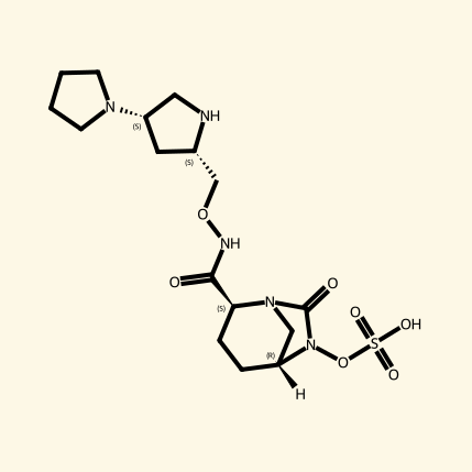 O=C(NOC[C@@H]1C[C@H](N2CCCC2)CN1)[C@@H]1CC[C@@H]2CN1C(=O)N2OS(=O)(=O)O